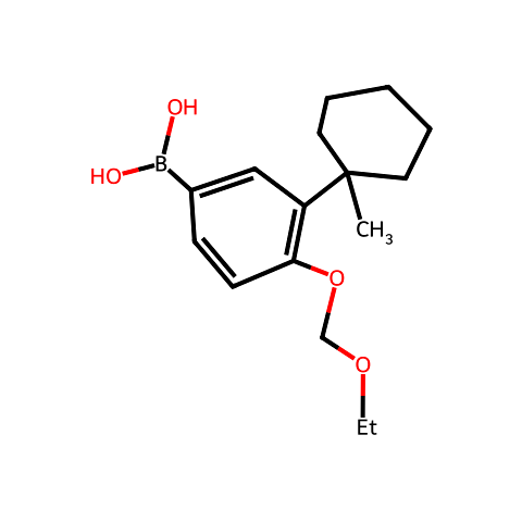 CCOCOc1ccc(B(O)O)cc1C1(C)CCCCC1